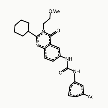 COCCn1c(C2CCCCC2)nc2ccc(NC(=O)Nc3cccc(C(C)=O)c3)cc2c1=O